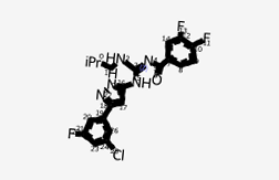 CC(C)CN/C(=N/C(=O)c1ccc(F)c(F)c1)Nc1cc(-c2cc(F)cc(Cl)c2)n[nH]1